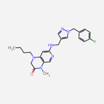 CCCCN1CC(=O)N(C)c2cnc(NCc3cnn(Cc4ccc(F)cc4)c3)cc21